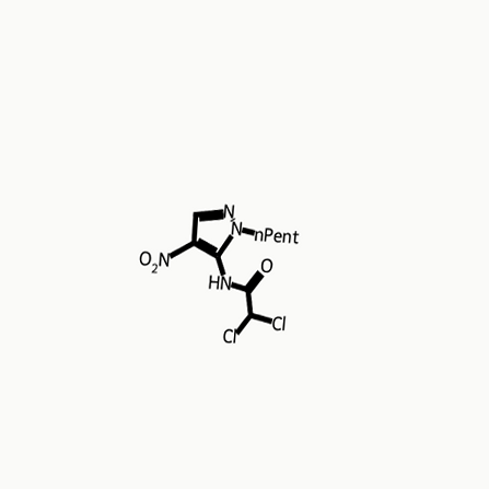 CCCCCn1ncc([N+](=O)[O-])c1NC(=O)C(Cl)Cl